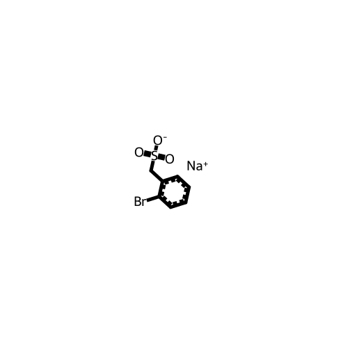 O=S(=O)([O-])Cc1ccccc1Br.[Na+]